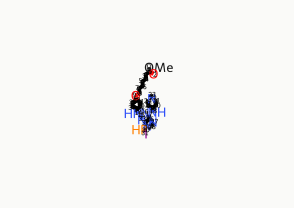 COC(=O)CCCCCCOc1ccc(Nc2nc(NC3CCN(C)CC3)c3ncn(PI)c3n2)cc1